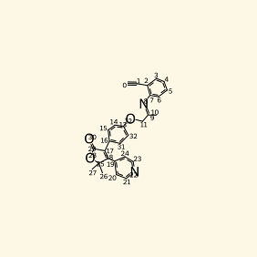 C#Cc1ccccc1/N=C(\C)COc1ccc(C2=C(c3ccncc3)C(C)(C)OC2=O)cc1